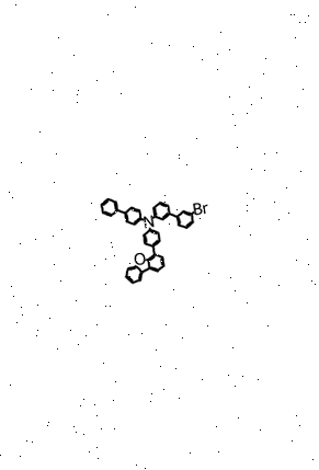 Brc1cccc(-c2cccc(N(c3ccc(-c4ccccc4)cc3)c3ccc(-c4cccc5c4oc4ccccc45)cc3)c2)c1